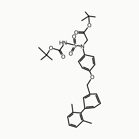 Cc1cccc(C)c1-c1cccc(COc2ccc(N(CC(=O)OC(C)(C)C)S(=O)(=O)NC(=O)OC(C)(C)C)cc2)c1